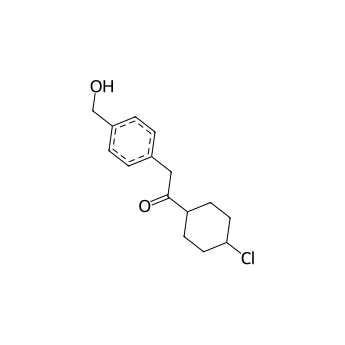 O=C(Cc1ccc(CO)cc1)C1CCC(Cl)CC1